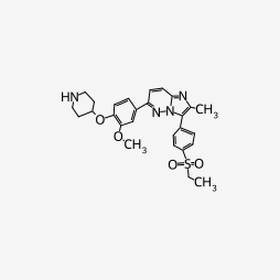 CCS(=O)(=O)c1ccc(-c2c(C)nc3ccc(-c4ccc(OC5CCNCC5)c(OC)c4)nn23)cc1